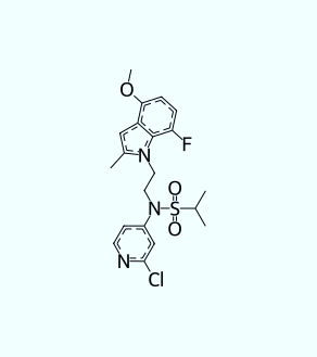 COc1ccc(F)c2c1cc(C)n2CCN(c1ccnc(Cl)c1)S(=O)(=O)C(C)C